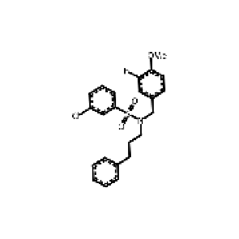 COc1ccc(CN(CCCc2ccccc2)S(=O)(=O)c2cccc(Cl)c2)cc1F